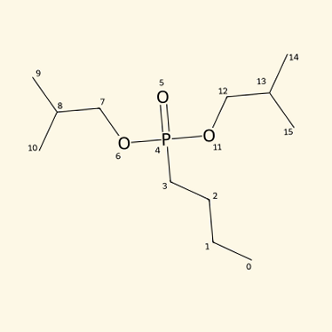 CCCCP(=O)(OCC(C)C)OCC(C)C